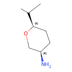 CC(C)[C@H]1CC[C@@H](N)CO1